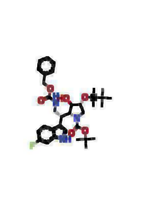 CC(C)(C)OC(=O)N1C[C@@H](O[Si](C)(C)C(C)(C)C)[C@H](O)[C@H]1[C@@H](CNC(=O)OCc1ccccc1)c1c[nH]c2cc(F)ccc12